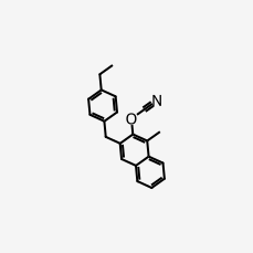 CCc1ccc(Cc2cc3ccccc3c(C)c2OC#N)cc1